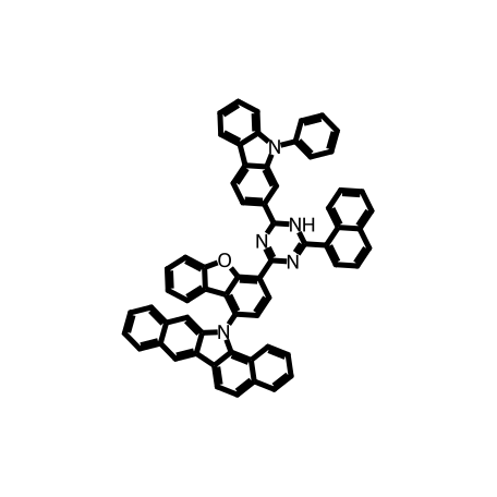 c1ccc(-n2c3ccccc3c3ccc(C4N=C(c5ccc(-n6c7cc8ccccc8cc7c7ccc8ccccc8c76)c6c5oc5ccccc56)N=C(c5cccc6ccccc56)N4)cc32)cc1